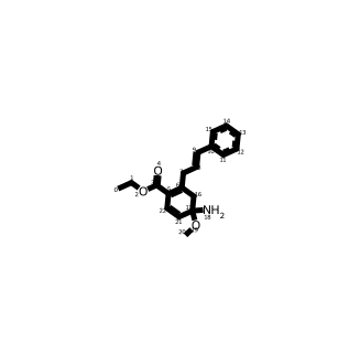 CCOC(=O)C1=C(CC=Cc2ccccc2)CC(N)(OC)C=C1